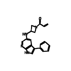 C=CC(=O)N1CC(Nc2cnc3[nH]cc(-c4ccccc4)c3c2)C1